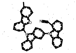 Cc1ccc2oc3c(-n4c5ccccc5c5cc(-n6c7ccccc7c7cccc(C#N)c76)ccc54)cccc3c2c1